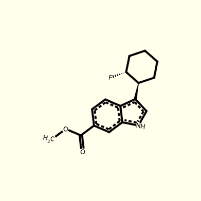 COC(=O)c1ccc2c([C@@H]3CCCC[C@H]3F)c[nH]c2c1